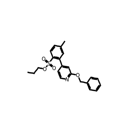 CCCOS(=O)(=O)c1ccc(C)cc1-c1ccnc(OCc2ccccc2)c1